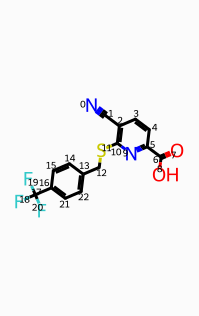 N#Cc1ccc(C(=O)O)nc1SCc1ccc(C(F)(F)F)cc1